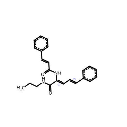 CCCNC(=O)/C(=C/C=C/c1ccccc1)NC(=O)C=Cc1ccccc1